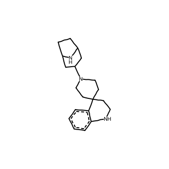 c1ccc2c(c1)NCCC21CCN(C2CC3CCC(C2)N3)CC1